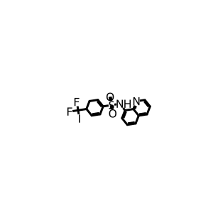 O=S(=O)(Nc1cccc2cccnc12)C1=CCC(C(F)(F)I)C=C1